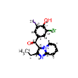 CCc1nc2ccccn2c1C(=O)c1cc(Br)c(O)c(I)c1